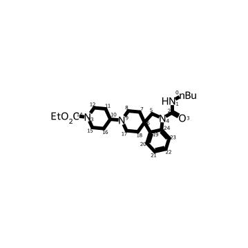 CCCCNC(=O)N1CC2(CCN(C3CCN(C(=O)OCC)CC3)CC2)c2ccccc21